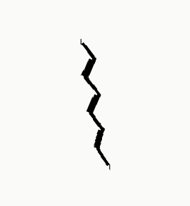 IC=C/C=C/C=C/I